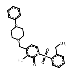 CCc1ccccc1S(=O)(=O)n1ccc(CN2CCN(c3ccccc3)CC2)c(O)c1=O